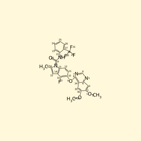 COc1cc2ncnc(Oc3ccc4c(cc(C)n4C(=O)Nc4ccccc4C(F)(F)F)c3F)c2cc1OC